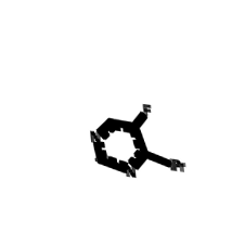 CC(C)c1n[c]ncc1F